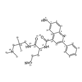 CCCCc1ccc2nc(-c3ccccc3)cc(C(=O)NC(CCSC)C(=O)NCC(C)(C)CN(C)C)c2c1